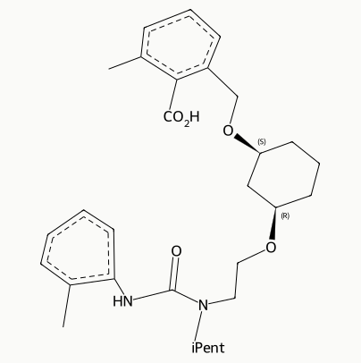 CCCC(C)N(CCO[C@@H]1CCC[C@H](OCc2cccc(C)c2C(=O)O)C1)C(=O)Nc1ccccc1C